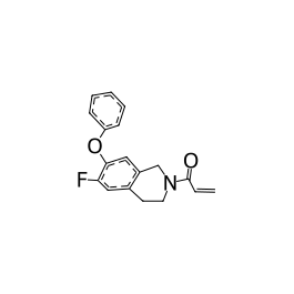 C=CC(=O)N1CCc2cc(F)c(Oc3ccccc3)cc2C1